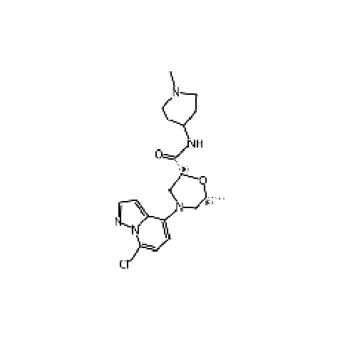 C[C@@H]1CN(c2ccc(Cl)n3nccc23)C[C@H](C(=O)NC2CCN(C)CC2)O1